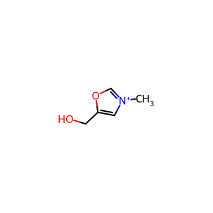 C[n+]1coc(CO)c1